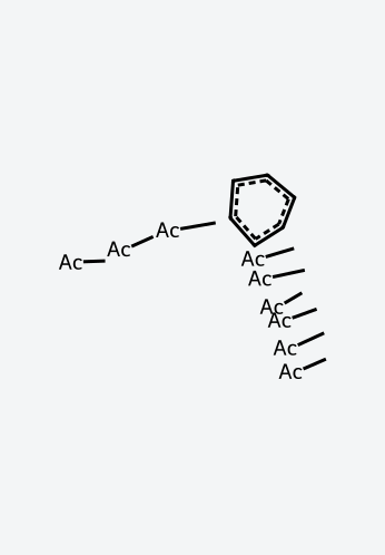 CC(C)=O.CC(C)=O.CC(C)=O.CC(C)=O.CC(C)=O.CC(C)=O.CC(C)=O.CC(C)=O.CC(C)=O.c1ccccc1